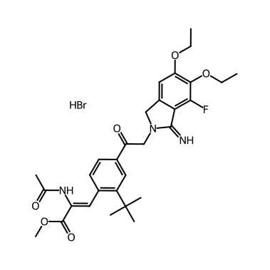 Br.CCOc1cc2c(c(F)c1OCC)C(=N)N(CC(=O)c1ccc(C=C(NC(C)=O)C(=O)OC)c(C(C)(C)C)c1)C2